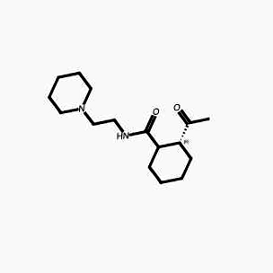 CC(=O)[C@@H]1CCCCC1C(=O)NCCN1CCCCC1